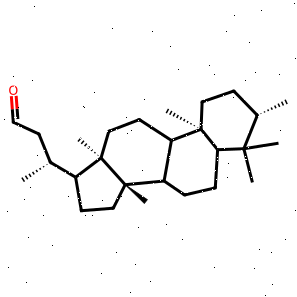 C[C@H](CC=O)C1CC[C@@]2(C)C3CCC4C(C)(C)[C@@H](C)CC[C@]4(C)C3CC[C@]12C